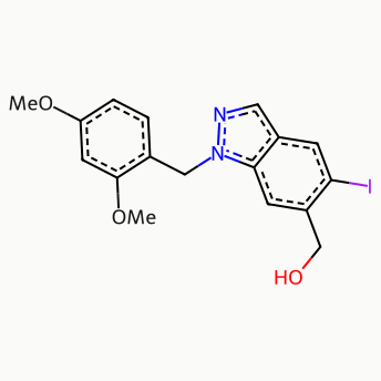 COc1ccc(Cn2ncc3cc(I)c(CO)cc32)c(OC)c1